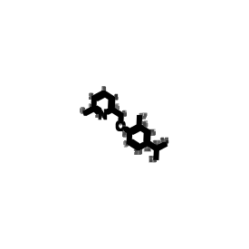 Cc1cccc(COc2ccc(C(C)C)cc2C)n1